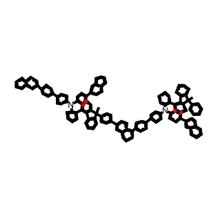 CC1(c2ccccc2)c2ccccc2-c2c(-c3ccccc3N(c3ccc(-c4ccc(-c5cccc6cc(-c7ccc(C8(C)c9ccccc9-c9c(-c%10ccccc%10N(c%10ccc(-c%11ccc(-c%12ccc%13ccccc%13c%12)cc%11)cc%10)c%10ccc(-c%11ccc%12ccccc%12c%11)cc%10)cccc98)cc7)ccc56)cc4)cc3)c3ccc(-c4ccc5ccccc5c4)cc3)cccc21